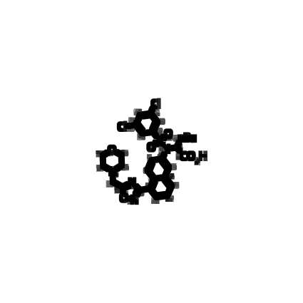 CCCCC(C(=O)O)N(c1ccc2c(-c3noc(CN4CCOCC4)n3)cccc2c1)S(=O)(=O)c1cc(Cl)cc(Cl)c1